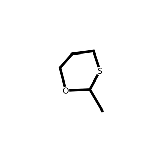 CC1OCCCS1